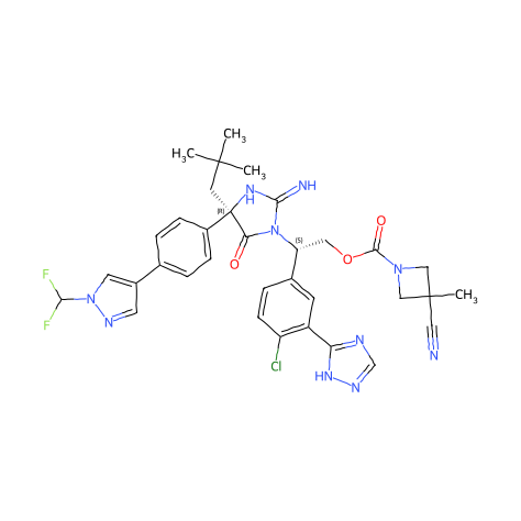 CC(C)(C)C[C@]1(c2ccc(-c3cnn(C(F)F)c3)cc2)NC(=N)N([C@H](COC(=O)N2CC(C)(C#N)C2)c2ccc(Cl)c(-c3ncn[nH]3)c2)C1=O